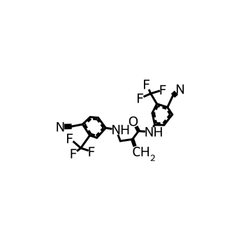 C=C(CNc1ccc(C#N)c(C(F)(F)F)c1)C(=O)Nc1ccc(C#N)c(C(F)(F)F)c1